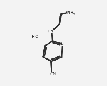 Cl.N#Cc1ccc(NCCN)nc1